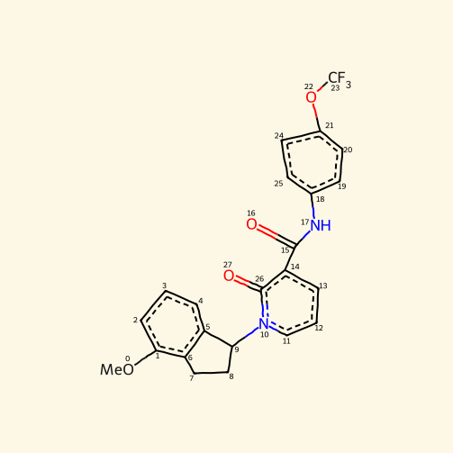 COc1cccc2c1CCC2n1cccc(C(=O)Nc2ccc(OC(F)(F)F)cc2)c1=O